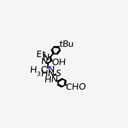 CCn1nc(/C(C)=N/NC(=S)Nc2ccc(C=O)cc2)c(O)c1-c1ccc(C(C)(C)C)cc1